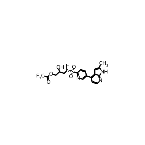 Cc1cc2c(-c3ccc(S(=O)(=O)NCC(O)COC(=O)C(F)(F)F)nc3)ccnc2[nH]1